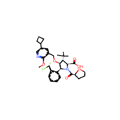 COc1ncc(C2CCC2)cc1CO[C@H]1[C@H](C(C)(C)C)[C@@H](C(=O)O)N(C(=O)[C@@H]2CCCO2)[C@H]1c1ccccc1C(F)F